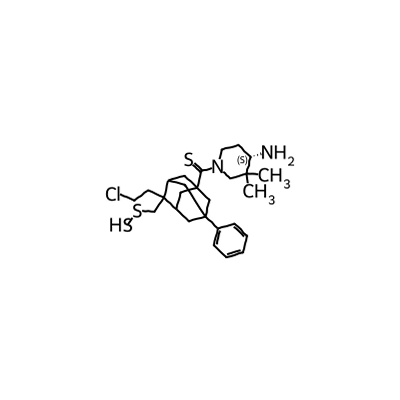 CC1(C)CN(C(=S)C23CC4CC(c5ccccc5)(CC(C2)C4(CCCl)CSS)C3)CC[C@@H]1N